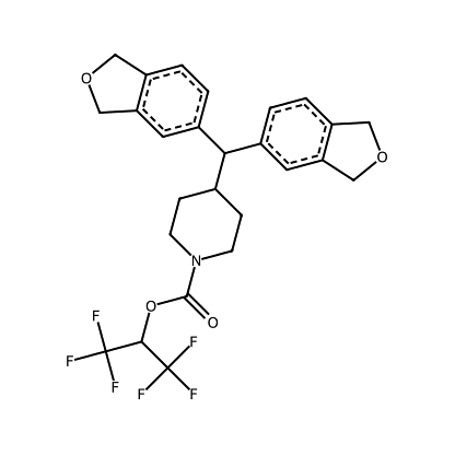 O=C(OC(C(F)(F)F)C(F)(F)F)N1CCC(C(c2ccc3c(c2)COC3)c2ccc3c(c2)COC3)CC1